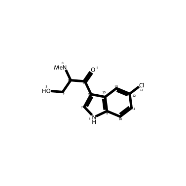 CNC(CO)C(=O)c1c[nH]c2ccc(Cl)cc12